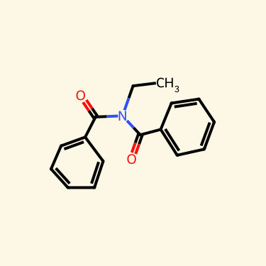 CCN(C(=O)c1ccccc1)C(=O)c1ccccc1